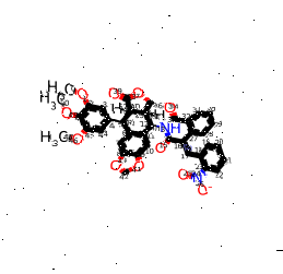 COc1cc([C@@H]2c3cc4c(cc3[C@@H](NC(=O)/C(=C/c3ccccc3[N+](=O)[O-])c3ccccc3C=O)[C@H]3COC(=O)[C@H]23)OCO4)cc(OC)c1OC